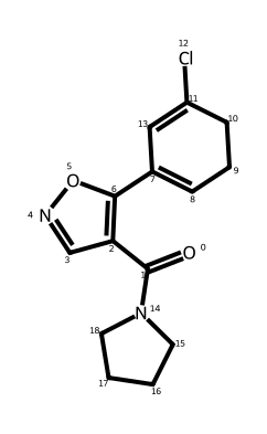 O=C(c1cnoc1C1=CCCC(Cl)=C1)N1CCCC1